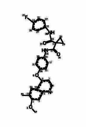 COc1cc2nccc(Oc3ccc(NC(=O)C4(C(=O)Nc5ccc(F)cc5)CC4)cc3)c2cc1C